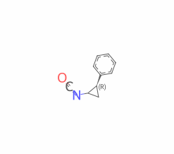 O=C=NC1C[C@@H]1c1ccccc1